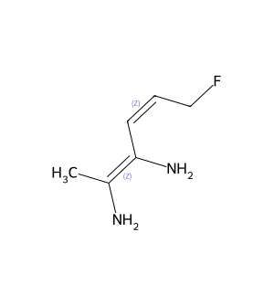 C/C(N)=C(N)\C=C/CF